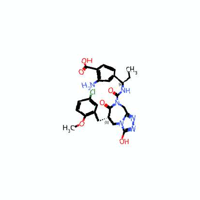 CC[C@@H](NC(=O)N1Cc2nnc(O)n2C[C@H](Cc2cc(Cl)ccc2OC)C1=O)c1ccc(C(=O)O)c(N)c1